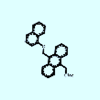 COCc1c2ccccc2c(COc2cccc3ccccc23)c2ccccc12